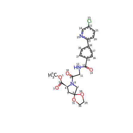 COC(=O)[C@@H]1CC2(CN1C(=O)CNC(=O)c1ccc(-c3ccc(Cl)cn3)cc1)OCCO2